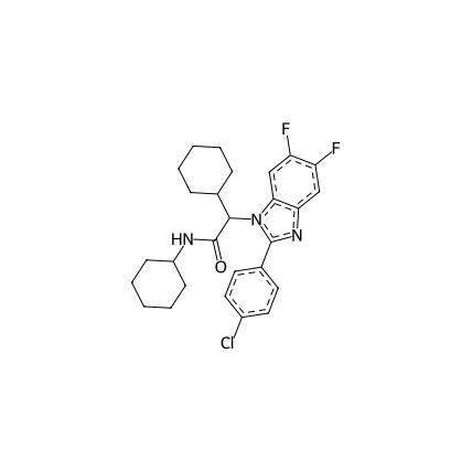 O=C(NC1CCCCC1)C(C1CCCCC1)n1c(-c2ccc(Cl)cc2)nc2cc(F)c(F)cc21